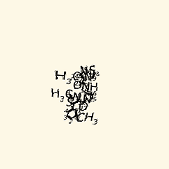 Cc1cccc(-c2sc(C)nc2C(=O)N2CC[C@@H]2CNC(=O)c2c(C)nc3sccn23)c1